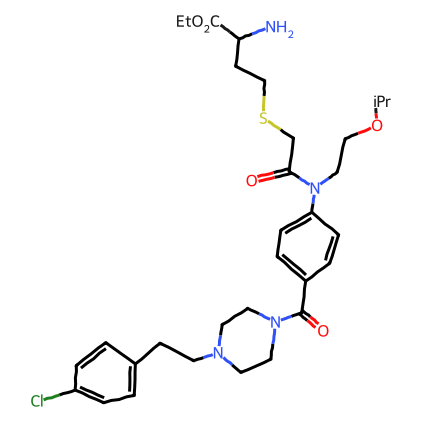 CCOC(=O)C(N)CCSCC(=O)N(CCOC(C)C)c1ccc(C(=O)N2CCN(CCc3ccc(Cl)cc3)CC2)cc1